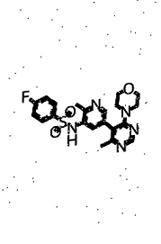 Cc1ncc(-c2c(C)ncnc2N2CCOCC2)cc1NS(=O)(=O)c1ccc(F)cc1